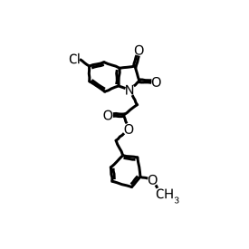 COc1cccc(COC(=O)CN2C(=O)C(=O)c3cc(Cl)ccc32)c1